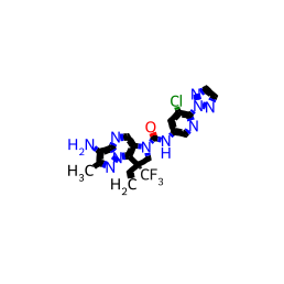 C=C[C@@]1(C(F)(F)F)CN(C(=O)Nc2cnc(-n3nccn3)c(Cl)c2)c2cnc3c(N)c(C)nn3c21